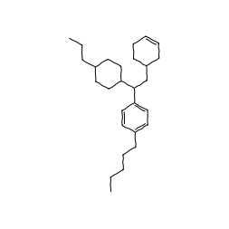 CCCCCc1ccc(C(CC2CC=CCC2)C2CCC(CCC)CC2)cc1